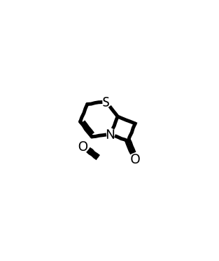 C=O.O=C1CC2SCC=CN12